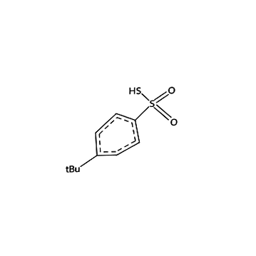 CC(C)(C)c1ccc(S(=O)(=O)S)cc1